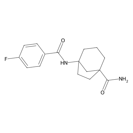 NC(=O)C12CCCC(NC(=O)c3ccc(F)cc3)(CC1)C2